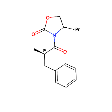 CC(C)C1COC(=O)N1C(=O)[C@H](C)Cc1ccccc1